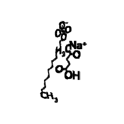 CC(=O)CCC(=O)O.CCCCCCCCCCCCOS(=O)(=O)[O-].[Na+]